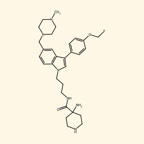 CN1CCN(Cc2ccc3c(c2)c(-c2ccc(OCF)cc2)cn3CCCNC(=O)C2(N)CCNCC2)CC1